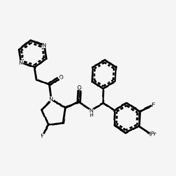 CC(C)c1ccc(C(NC(=O)C2CC(F)CN2C(=O)Cc2cnccn2)c2ccccc2)cc1F